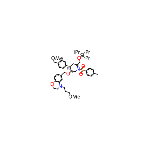 COCCCN1CCOc2ccc(CO[C@H]3CN(S(=O)(=O)c4ccc(C)cc4)[C@H](CO[Si](C(C)C)(C(C)C)C(C)C)C[C@@H]3c3ccc(COC)cc3)cc21